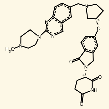 CN1CCN(c2ncc3cc(CN4CC[C@H](Oc5ccc6c(c5)CN([C@H]5CCC(=O)NC5=O)C6=O)C4)ccc3n2)CC1